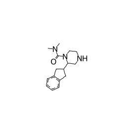 CN(C)C(=O)N1CCNCC1C1Cc2ccccc2C1